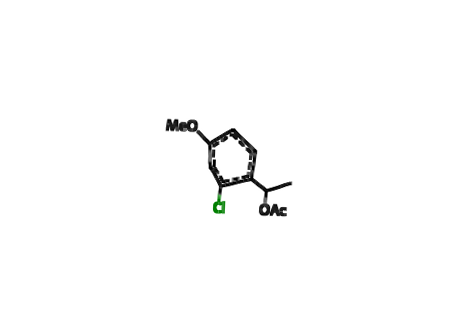 COc1ccc(C(C)OC(C)=O)c(Cl)c1